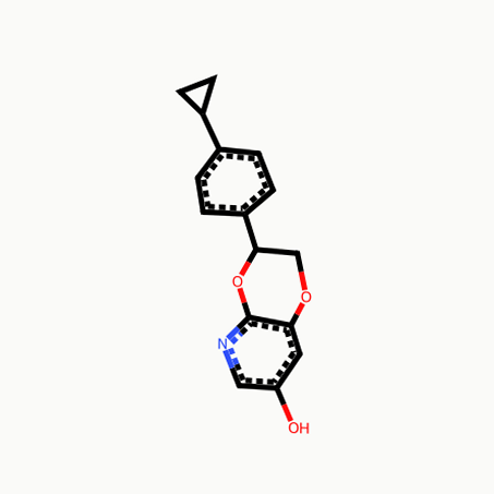 Oc1cnc2c(c1)OCC(c1ccc(C3CC3)cc1)O2